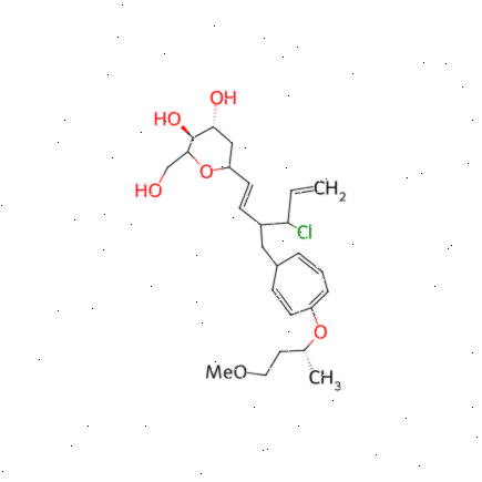 C=CC(Cl)C(/C=C/C1C[C@@H](O)[C@H](O)C(CO)O1)CC1C=CC=C(O[C@H](C)CCOC)C=C1